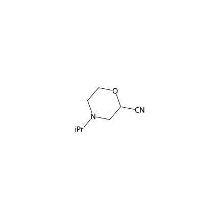 CC(C)N1CCOC(C#N)C1